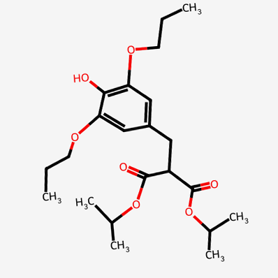 CCCOc1cc(CC(C(=O)OC(C)C)C(=O)OC(C)C)cc(OCCC)c1O